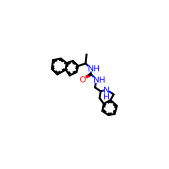 CC(NC(=O)NCC1Cc2ccccc2CN1)c1ccc2ccccc2c1